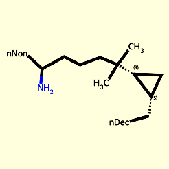 CCCCCCCCCCC[C@H]1C[C@H]1C(C)(C)CCCC(N)CCCCCCCCC